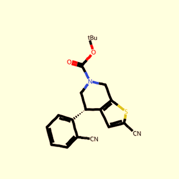 CC(C)(C)OC(=O)N1Cc2sc(C#N)cc2[C@H](c2ccccc2C#N)C1